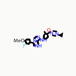 COc1ccc(C2=CNC=C3C(Nc4ccc(C(=O)N5CCN(C6CC6)CC5)c(C)c4)=NC=CN32)cc1F